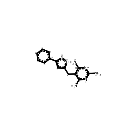 Nc1nc(N)c(Cc2cc(-c3ccccc3)no2)c(N)n1